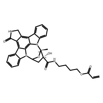 C=CC(=O)OCCCCNC(=O)[C@@]1(O)CC2O[C@]1(C)n1c3ccccc3c3c4c(c5c6ccccc6n2c5c31)C(=O)NC4